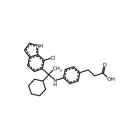 CC(Nc1ccc(CCC(=O)O)cc1)(c1ccc2cc[nH]c2c1Cl)C1CCCCC1